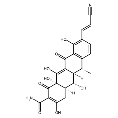 C[C@H]1c2ccc(/C=C/C#N)c(O)c2C(=O)C2=C(O)[C@]3(O)C(=O)C(C(N)=O)=C(O)C[C@@H]3[C@@H](O)[C@@H]21